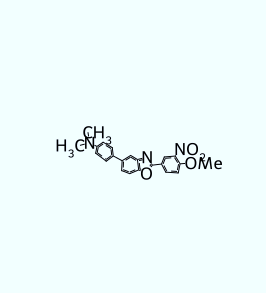 COc1ccc(-c2nc3cc(-c4ccc(N(C)C)cc4)ccc3o2)cc1[N+](=O)[O-]